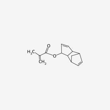 C=C(C)C(=O)OC1C=CC2C3C=CC(C3)C12